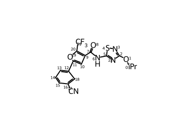 CC(C)Oc1nsc(NC(=O)c2cc(-c3cccc(C#N)c3)oc2C(F)(F)F)n1